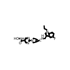 CCCn1cc(CNCC2C3CN(c4ncc(C(=O)NO)cn4)CC23)c2cc(F)ccc21